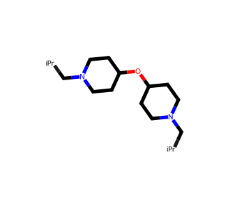 CC(C)CN1CCC(OC2CCN(CC(C)C)CC2)CC1